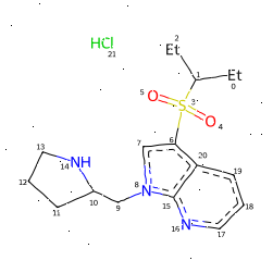 CCC(CC)S(=O)(=O)c1cn(CC2CCCN2)c2ncccc12.Cl